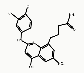 NC(=O)CCCc1cc([N+](=O)[O-])cc2c(O)nc(Nc3ccc(Cl)c(Cl)c3)nc12